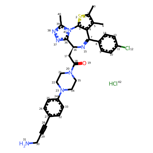 Cc1sc2c(c1C)C(c1ccc(Cl)cc1)=N[C@@H](CC(=O)N1CCN(c3ccc(C#CCN)cc3)CC1)c1nnc(C)n1-2.Cl